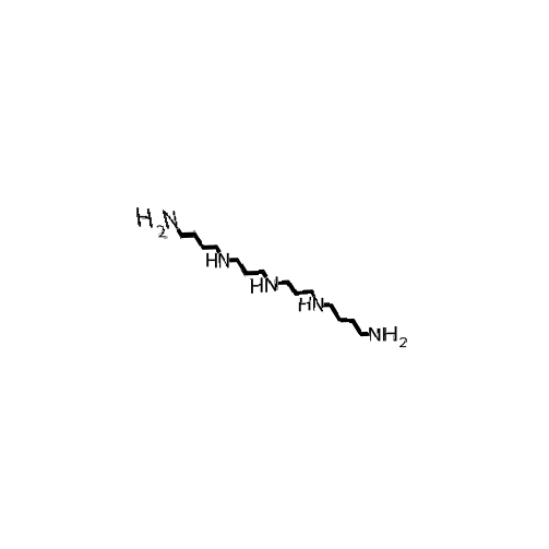 NCCCCNCCCNCCCNCCCCN